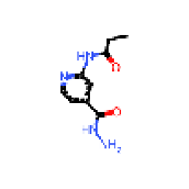 CCC(=O)Nc1cc(C(=O)NN)ccn1